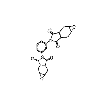 O=C1C2CC3OC3CC2C(=O)N1c1cccc(N2C(=O)C3CC4OC4CC3C2=O)c1